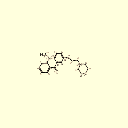 Cn1c2ccccc2c(=O)c2cc(OCCN3CCOCC3)ccc21